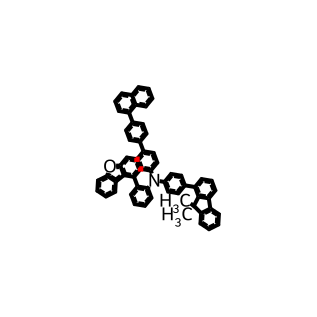 CC1(C)c2ccccc2-c2cccc(-c3ccc(N(c4ccc(-c5ccc(-c6cccc7ccccc67)cc5)cc4)c4ccccc4-c4cccc5oc6ccccc6c45)cc3)c21